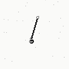 ClCCCCCCCCCCCCCCCOC1CCCCO1